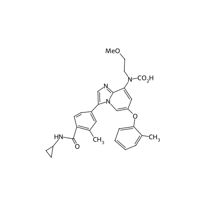 COCCN(C(=O)O)c1cc(Oc2ccccc2C)cn2c(-c3ccc(C(=O)NC4CC4)c(C)c3)cnc12